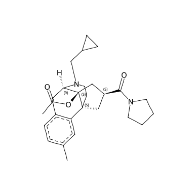 CC(=O)O[C@@]12C[C@@H](C(=O)N3CCCC3)C[C@@]13CCN(CC1CC1)[C@@H]2Cc1ccc(C)cc13